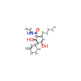 CCCCCc1cc(O)c(C2C=C(C)CCC2)c(O)c1C(=O)NCC